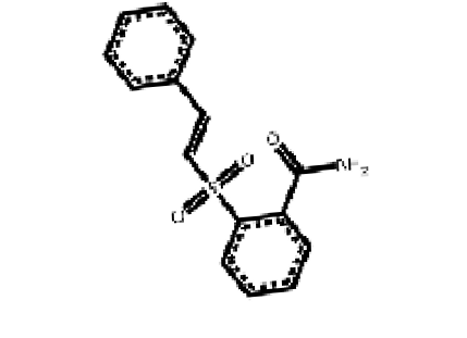 NC(=O)c1ccccc1S(=O)(=O)C=Cc1ccccc1